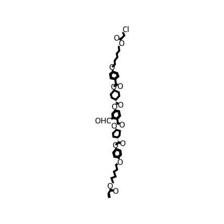 C=CC(=O)OCCCCCCOc1ccc(OC(=O)[C@H]2CC[C@H](OC(=O)c3ccc(OC(=O)[C@H]4CC[C@H](OC(=O)c5ccc(OCCCCCCOC(=O)CCCl)cc5)CC4)cc3C=O)CC2)cc1